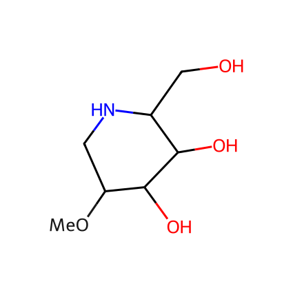 COC1CNC(CO)C(O)C1O